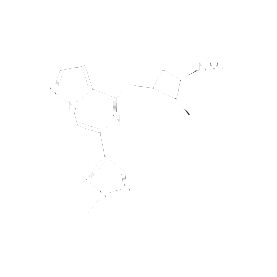 CN[C@@H]1C[C@](C)(Oc2nc(-c3cnn(C)c3)cn3nccc23)[C@@H]1C